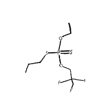 CCCSP(=S)(OCC)OCC(F)(F)F